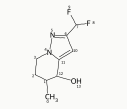 CC1CCn2nc(C(F)F)cc2C1O